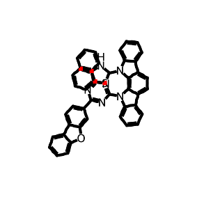 c1ccc(-c2nc(-c3ccc4c(c3)oc3ccccc34)nc(-n3c4ccccc4c4ccc5c6ccccc6n(C6Nc7ccccc7S6)c5c43)n2)cc1